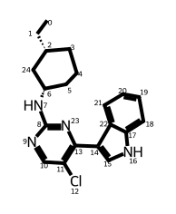 CC[C@@H]1CCC[C@H](Nc2ncc(Cl)c(-c3c[nH]c4ccccc34)n2)C1